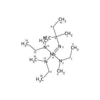 CC[N](C)[Nb](=[N]C(C)(C)CC)([N](C)CC)[N](C)CC